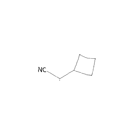 N#C[CH]C1CCC1